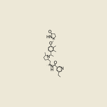 CCc1cncc(C(=O)N[C@H](C)CC2CCC(C)N2C(C)c2ccc(OC[C@H]3CCC(=O)N3)c(C)c2C)c1